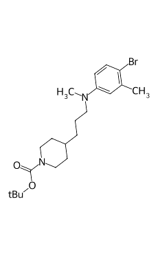 Cc1cc(N(C)CCCC2CCN(C(=O)OC(C)(C)C)CC2)ccc1Br